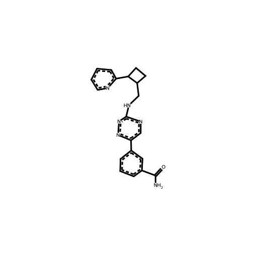 NC(=O)c1cccc(-c2cnc(NCC3CCC3c3ccccn3)nn2)c1